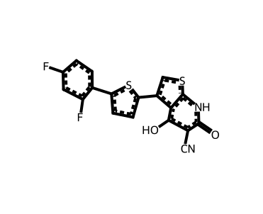 N#Cc1c(O)c2c(-c3ccc(-c4ccc(F)cc4F)s3)csc2[nH]c1=O